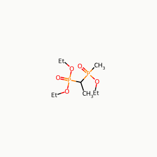 CCOP(C)(=O)C(C)P(=O)(OCC)OCC